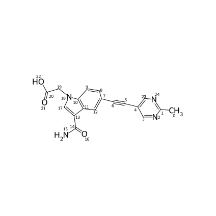 Cc1ncc(C#Cc2ccc3c(c2)c(C(N)=O)cn3CC(=O)O)cn1